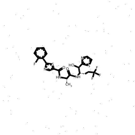 C[C@H](NC(=O)c1cnc(-c2ccccc2F)s1)C(=O)N[C@@H](CCC(F)(F)F)C(O)c1nccs1